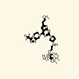 CCCc1cc2c(N3CCn4c(nnc4C(F)(F)F)C3)nc(N3CC[C@H](NCCO[Si](C)(C)C(C)(C)C)C3)nc2s1